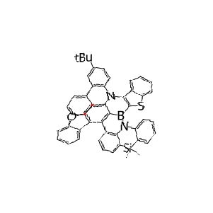 CC(C)(C)c1ccc(N2c3cc4oc5ccccc5c4c4c3B(c3sc5ccccc5c32)N2c3ccccc3[Si](C)(C)c3cccc-4c32)c(-c2ccccc2)c1